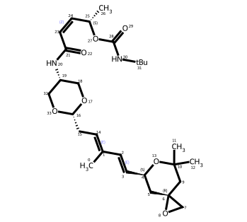 CC(/C=C/[C@@H]1C[C@]2(CO2)CC(C)(C)O1)=C\C[C@H]1OC[C@@H](NC(=O)/C=C\[C@H](C)OC(=O)NC(C)(C)C)CO1